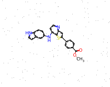 COC(=O)c1ccc(-c2cc3nccc(Nc4ccc5[nH]ccc5c4)c3s2)cc1